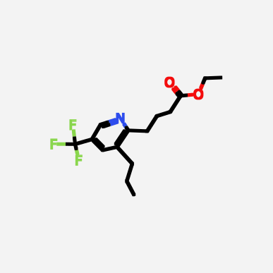 CCCc1cc(C(F)(F)F)cnc1CCCC(=O)OCC